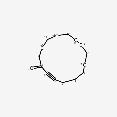 O=C1C#CCCCCCCCCCCCC1